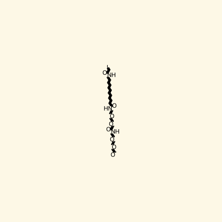 O=[C]COCCOCCNC(=O)COCCOCCNC(=O)CCCCCCCCCCCNC(=O)CI